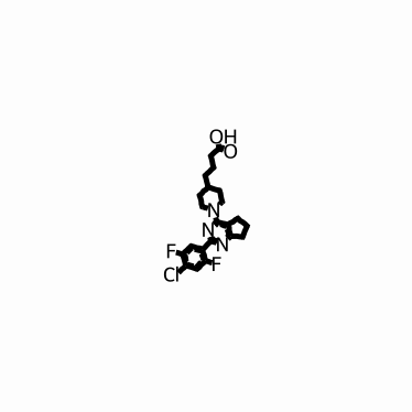 O=C(O)CCCC1CCN(c2nc(-c3cc(F)c(Cl)cc3F)nc3c2CCC3)CC1